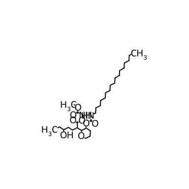 CCCCCCCCCCCCCCCCCNC(=O)OC1CCCOC1C(CCC(O)CC)C(=O)ONC(=O)OC